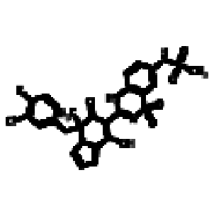 CC1(Cc2ccc(F)c(Cl)c2)C(=O)C(C2=NS(=O)(=O)c3cc(NS(C)(=O)=O)ccc3N2)=C(O)c2cccn21